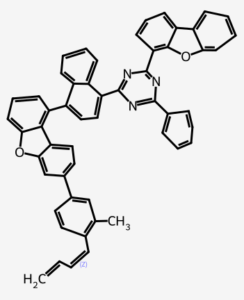 C=C/C=C\c1ccc(-c2ccc3c(c2)oc2cccc(-c4ccc(-c5nc(-c6ccccc6)nc(-c6cccc7c6oc6ccccc67)n5)c5ccccc45)c23)cc1C